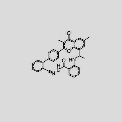 Cc1cc(C(C)Nc2ccccc2C(=O)O)c2oc(-c3ccc(-c4ccccc4C#N)cc3)c(C)c(=O)c2c1